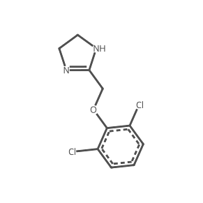 Clc1cccc(Cl)c1OCC1=NCCN1